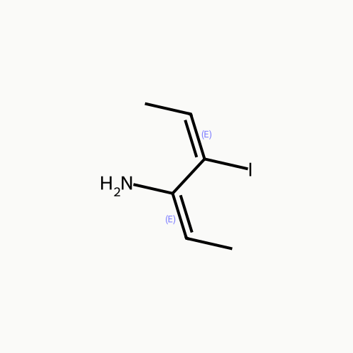 C/C=C(N)\C(I)=C/C